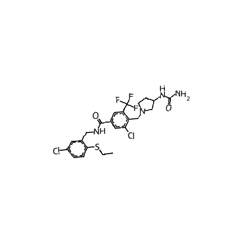 CCSc1ccc(Cl)cc1CNC(=O)c1cc(Cl)c(CN2CCC(NC(N)=O)C2)c(C(F)(F)F)c1